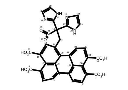 O=C(O)c1ccc2c3ccc(C(=O)O)c4c(C(=O)O)cc(CC(c5ncc[nH]5)(c5ncc[nH]5)P(=O)=O)c(c5ccc(C(=O)O)c1c25)c43